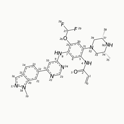 C=CC(=O)Nc1cc(Nc2cc(-c3ccc4cnn(C)c4c3)ncn2)c(OC(F)F)cc1N1C[C@@H](C)N[C@@H](C)C1